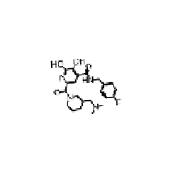 CN(C)CC1CCCN(C(=O)c2cc(C(=O)NCc3ccc(F)cc3)c(O)c(O)n2)C1